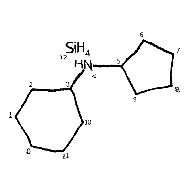 C1CCC(NC2CCCC2)CC1.[SiH4]